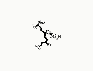 CCCCC(CC)CCC(CCC(CC)CCO)OS(=O)(=O)O